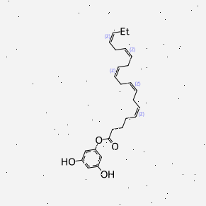 CC/C=C\C/C=C\C/C=C\C/C=C\C/C=C\CCCC(=O)Oc1cc(O)cc(O)c1